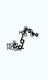 CS[C@H]1O[C@@H](c2ccc(C)c(Cc3ccc(CCCC(=O)NC(C)(C)C(=O)N4CCN(CC(=O)N5CCCC5)CC4)cc3)c2)[C@H](O)[C@@H](O)[C@@H]1O